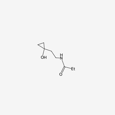 CCC(=O)NCCC1(O)CC1